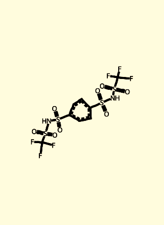 O=S(=O)(NS(=O)(=O)C(F)(F)F)c1ccc(S(=O)(=O)NS(=O)(=O)C(F)(F)F)cc1